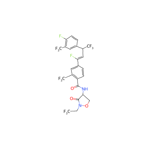 O=C(NC1CON(CC(F)(F)F)C1=O)c1ccc(/C(F)=C/C(c2ccc(F)c(C(F)(F)F)c2)C(F)(F)F)cc1C(F)(F)F